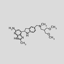 COCC(COC)CN(C)Cc1ccc2c(c1)CC(c1cc(N)nc3[nH]c(C)nc13)N2